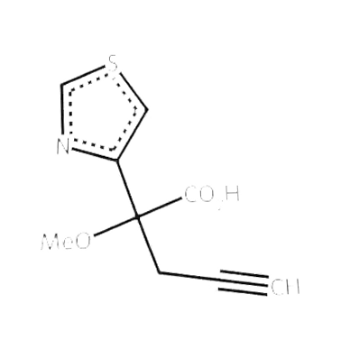 C#CCC(OC)(C(=O)O)c1cscn1